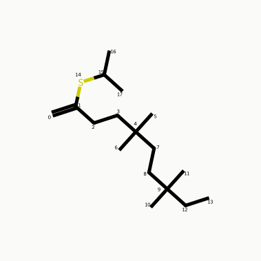 C=C(CCC(C)(C)CCC(C)(C)CC)SC(C)C